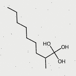 CCCCCCCC(C)C(O)(O)O